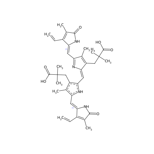 C=CC1=C(C)C(=O)N/C1=C\C1=NC(=Cc2[nH]c(/C=C3\NC(=O)C(C)=C3C=C)c(C)c2CC(C)(C)C(=O)O)C(CC(C)(C)C(=O)O)=C1C